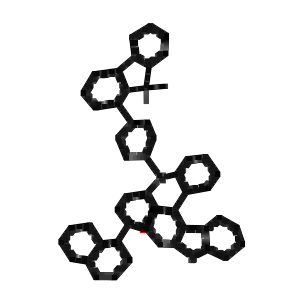 CC1(C)c2ccccc2-c2cccc(-c3ccc(N(c4ccc(-c5cccc6ccccc56)cc4)c4ccccc4-c4cccc5sc6ccccc6c45)cc3)c21